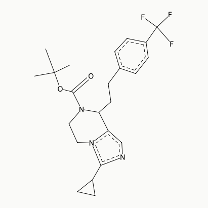 CC(C)(C)OC(=O)N1CCn2c(cnc2C2CC2)C1CCc1ccc(C(F)(F)F)cc1